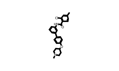 Cc1ccc(C(=O)Nc2cccc(-c3ccc(OC4CCN(C)CC4)cc3)c2)c(Cl)c1